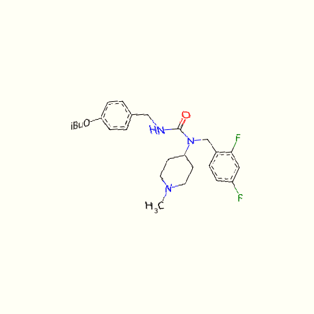 CC(C)COc1ccc(CNC(=O)N(Cc2ccc(F)cc2F)C2CCN(C)CC2)cc1